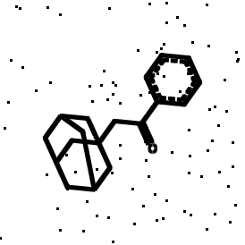 O=C(CC12CC3CC(CC(C3)C1)C2)c1ccccc1